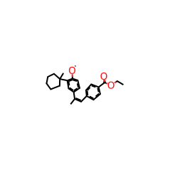 CCOC(=O)c1ccc(/C=C(/C)c2ccc(OC)c(C3(C)CCCCC3)c2)cc1